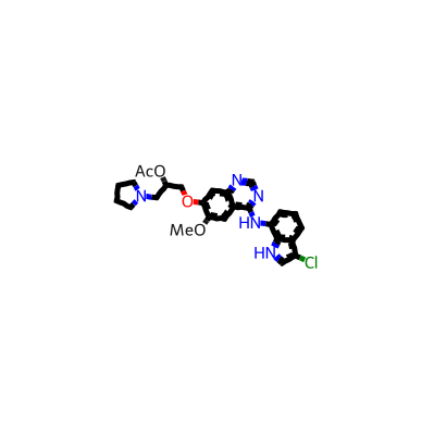 COc1cc2c(Nc3cccc4c(Cl)c[nH]c34)ncnc2cc1OCC(CN1CCCC1)OC(C)=O